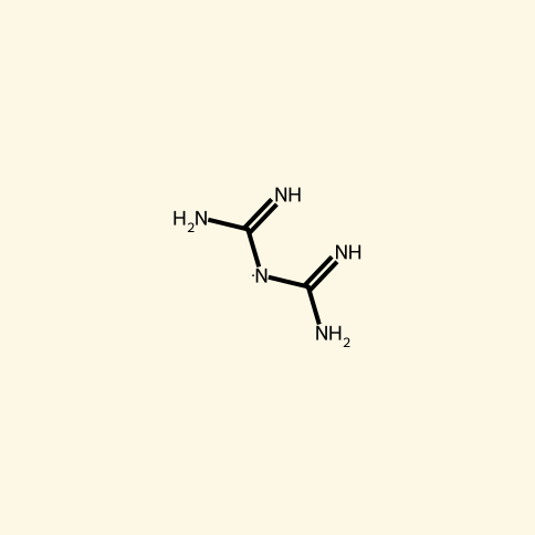 N=C(N)[N]C(=N)N